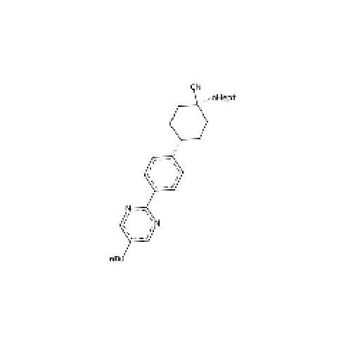 CCCCCCC[C@]1(C#N)CC[C@H](c2ccc(-c3ncc(CCCC)cn3)cc2)CC1